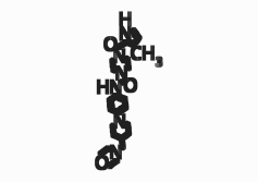 Cc1cc[nH]c1C(=O)N1CCN(C(=O)Nc2ccc(N3CCC(CN4CCOCC4)CC3)cc2)CC1